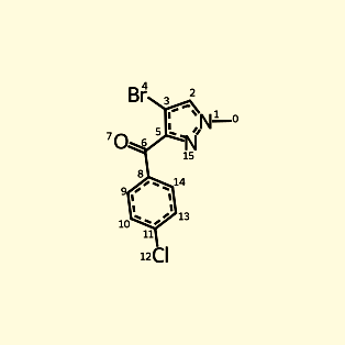 Cn1cc(Br)c(C(=O)c2ccc(Cl)cc2)n1